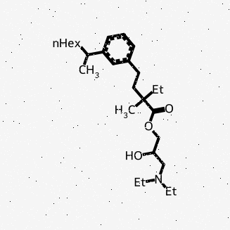 CCCCCCC(C)c1cccc(CCC(C)(CC)C(=O)OCC(O)CN(CC)CC)c1